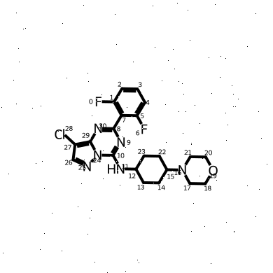 Fc1cccc(F)c1-c1nc(NC2CCC(N3CCOCC3)CC2)n2ncc(Cl)c2n1